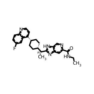 CCNC(=O)c1cc2nc([C@H](C)[C@H]3CC[C@@H](c4ccnc5ccc(F)cc54)CC3)[nH]c2cn1